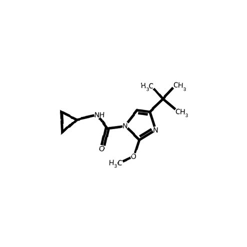 COc1nc(C(C)(C)C)cn1C(=O)NC1CC1